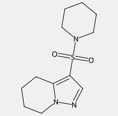 O=S(=O)(c1cnn2c1CCCC2)N1CCCCC1